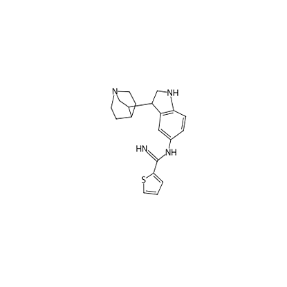 N=C(Nc1ccc2c(c1)C(C1CN3CCC1CC3)CN2)c1cccs1